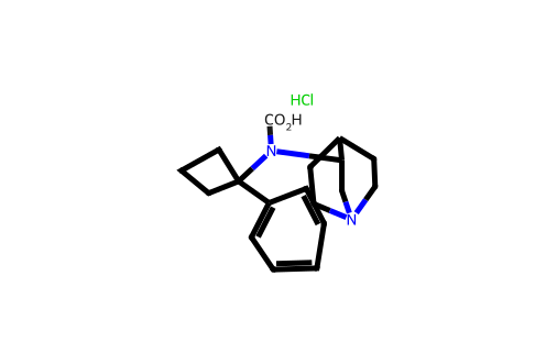 Cl.O=C(O)N(C1CN2CCC1CC2)C1(c2ccccc2)CCC1